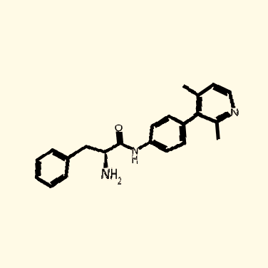 Cc1ccnc(C)c1-c1ccc(NC(=O)[C@@H](N)Cc2ccccc2)cc1